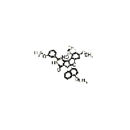 COc1ccc([C@@]23Oc4cc(OC)cc(OC)c4[C@]2(O)c2nc(-c4cccc(OC)c4)[nH]c(=O)c2[C@H]3c2ccccc2)cc1